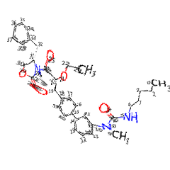 CCCCCNC(=O)N(C)c1cccc(-c2ccc(C[C@H](OCC)C(=O)N3C(=O)OC[C@@H]3Cc3ccccc3)cc2)c1